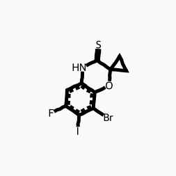 Fc1cc2c(c(Br)c1I)OC1(CC1)C(=S)N2